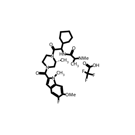 CNC(C)C(=O)NC(C(=O)N1CCN(C(=O)c2cc3cc(F)c(OC)cc3n2C)C[C@H]1C)C1CCCCC1.O=C(O)C(F)(F)F